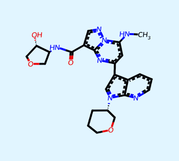 CNc1cc(-c2cn([C@H]3CCCOC3)c3ncccc23)nc2c(C(=O)N[C@@H]3COC[C@@H]3O)cnn12